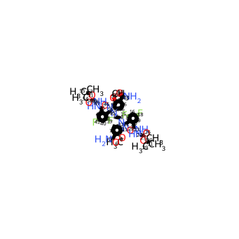 COc1c(C(N)=O)ccc2c1nc(-c1c(F)cc(F)cc1C(=O)NNC(=O)OC(C)(C)C)n2CCn1c(-c2c(F)cc(F)cc2C(=O)NNC(=O)OC(C)(C)C)nc2c(OC)c(C(N)=O)ccc21